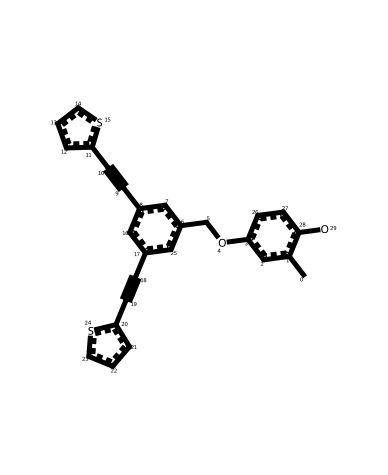 Cc1cc(OCc2cc(C#Cc3cccs3)cc(C#Cc3cccs3)c2)ccc1[O]